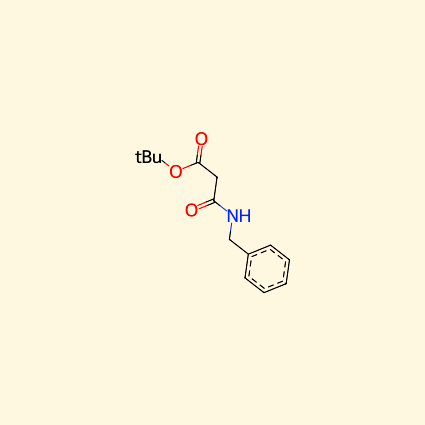 CC(C)(C)OC(=O)CC(=O)NCc1ccccc1